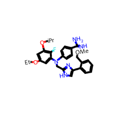 CCOc1cc(OC(C)C)c(F)c(N(Cc2nc(-c3ccccc3COC)c[nH]2)c2ccc(C(=N)N)cc2)c1